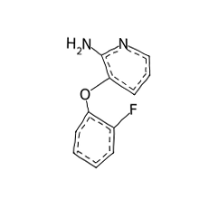 Nc1ncccc1Oc1ccccc1F